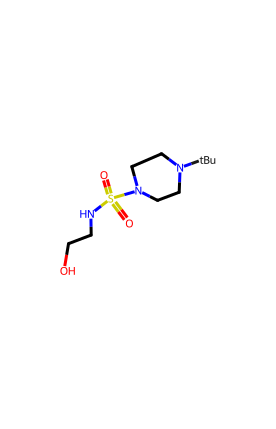 CC(C)(C)N1CCN(S(=O)(=O)NCCO)CC1